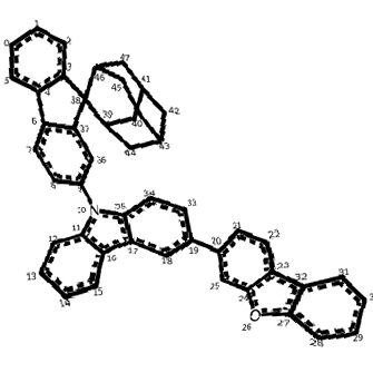 c1ccc2c(c1)-c1ccc(-n3c4ccccc4c4cc(-c5ccc6c(c5)oc5ccccc56)ccc43)cc1C21C2CC3CC(C2)CC1C3